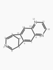 C1=NC=C2CC1c1cc3nccnc3cc12